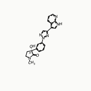 CN1CC[C@@](O)(c2cccc(-n3ncc(-c4c[nH]c5ncccc45)n3)c2)C1=O